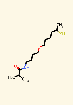 CC(S)CCCCOCCCCNC(=O)C(C)C